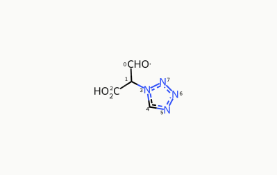 O=[C]C(C(=O)O)n1cnnn1